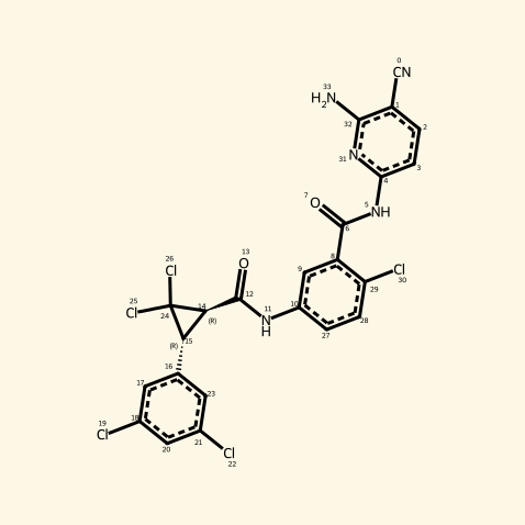 N#Cc1ccc(NC(=O)c2cc(NC(=O)[C@H]3[C@H](c4cc(Cl)cc(Cl)c4)C3(Cl)Cl)ccc2Cl)nc1N